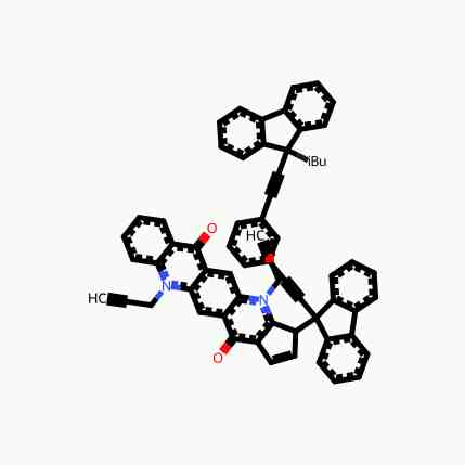 C#CCn1c2c(c(=O)c3cc4c(cc31)c(=O)c1ccccc1n4CC#C)C=CC2C1(C#Cc2cccc(C#CC3(C(C)CC)c4ccccc4-c4ccccc43)c2)c2ccccc2-c2ccccc21